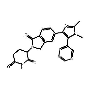 Cc1nc(-c2ccc3c(c2)CN(C2CCC(=O)NC2=O)C3=O)c(-c2cncnc2)n1C